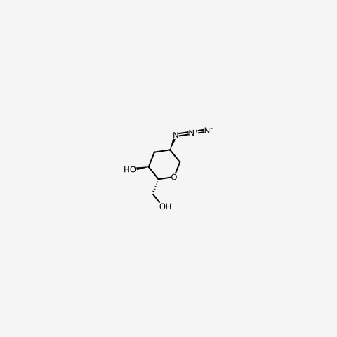 [N-]=[N+]=N[C@H]1CO[C@H](CO)[C@@H](O)C1